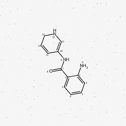 Nc1ccccc1C(=O)NC1=CNCC=C1